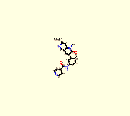 CNc1cc2c(cn1)cc(-c1cc(NC(=O)c3ccncc3)ccc1C)c(=O)n2C